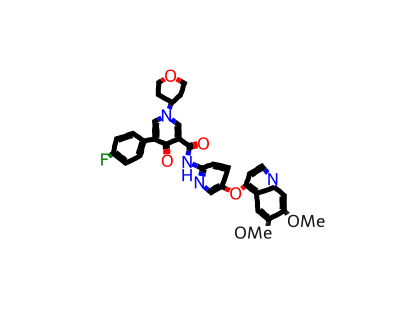 COc1cc2nccc(Oc3ccc(NC(=O)c4cn(C5CCOCC5)cc(-c5ccc(F)cc5)c4=O)nc3)c2cc1OC